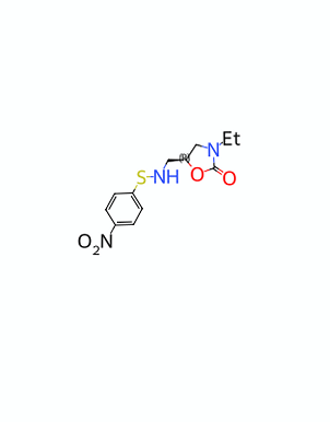 CCN1C[C@H](CNSc2ccc([N+](=O)[O-])cc2)OC1=O